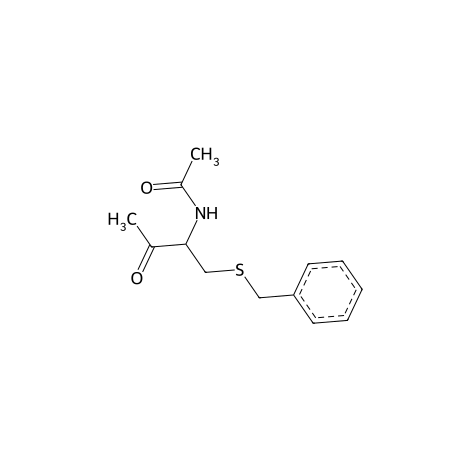 CC(=O)NC(CSCc1ccccc1)C(C)=O